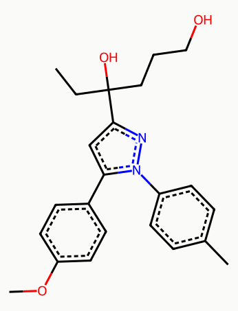 CCC(O)(CCCO)c1cc(-c2ccc(OC)cc2)n(-c2ccc(C)cc2)n1